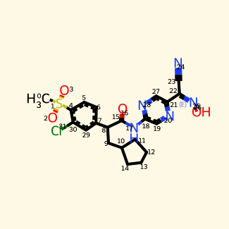 CS(=O)(=O)c1ccc(C(CC2CCCC2)C(=O)Nc2cnc(/C(C#N)=N\O)cn2)cc1Cl